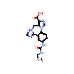 CCNC(=O)Nc1ccc2c(c1)-c1ncnn1Cc1c(C(=O)O)ncn1-2